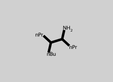 [CH2]CCC(CCCC)C(N)CCC